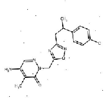 Cc1c(N)cnn(Cc2nc(CC(C)c3ccc(Cl)cc3)no2)c1=O